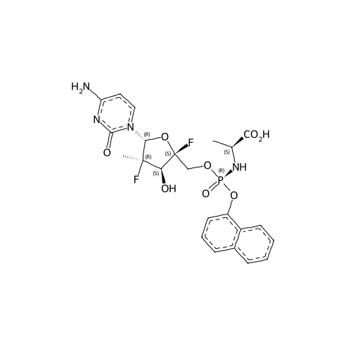 C[C@H](N[P@@](=O)(OC[C@@]1(F)O[C@@H](n2ccc(N)nc2=O)[C@](C)(F)[C@@H]1O)Oc1cccc2ccccc12)C(=O)O